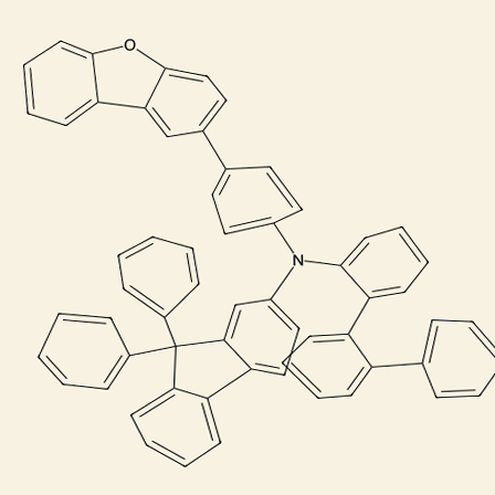 c1ccc(-c2ccccc2-c2ccccc2N(c2ccc(-c3ccc4oc5ccccc5c4c3)cc2)c2ccc3c(c2)C(c2ccccc2)(c2ccccc2)c2ccccc2-3)cc1